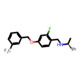 CC(C)[C@H](C)NCc1ccc(OCc2cccc(C(F)(F)F)c2)cc1F